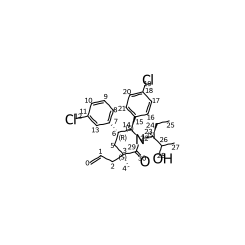 C=CC[C@@]1(C)C[C@H](c2cccc(Cl)c2)[C@@H](c2ccc(Cl)cc2)N([C@@H](CC)C(C)O)C1=O